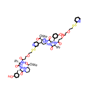 COC(=O)[C@@H]1CCCN(C(=O)[C@H](Cc2cccc(O)c2)NC(=O)[C@@H](NC(=O)CCOCCSSc2cc(C3CCN(C(=O)[C@H](Cc4cccc(O)c4)NC(=O)[C@@H](NC(=O)CCOCCOCCSSc4ccccn4)C(C)C)N[C@@H]3C(=O)OC)ccn2)C(C)C)N1